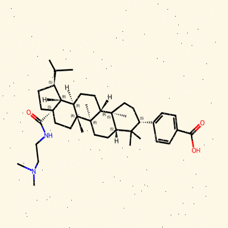 CC(C)[C@@H]1CC[C@]2(C(=O)NCCN(C)C)CC[C@]3(C)[C@H](CC[C@@H]4[C@@]5(C)CC[C@H](c6ccc(C(=O)O)cc6)C(C)(C)[C@@H]5CC[C@]43C)[C@@H]12